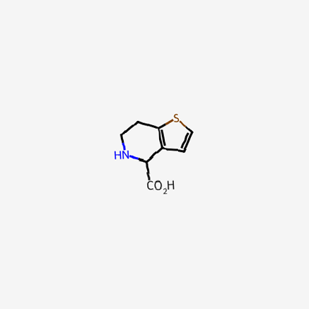 O=C(O)C1NCCc2sccc21